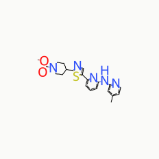 COC(=O)N1CCC(c2ncc(-c3cccc(Nc4cc(C)ccn4)n3)s2)CC1